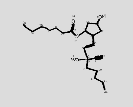 C#C[C@@](O)(C=CC1CC(O)CC1OC(=O)CCCCCC)CCCCC